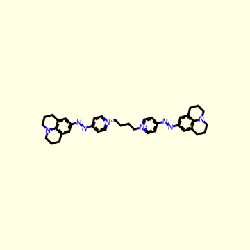 c1c[n+](CCCC[n+]2ccc(/N=N/c3cc4c5c(c3)CCCN5CCC4)cc2)ccc1/N=N/c1cc2c3c(c1)CCCN3CCC2